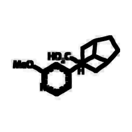 COc1cc(N2CC3CCC(C2)C3NC(=O)O)ccn1